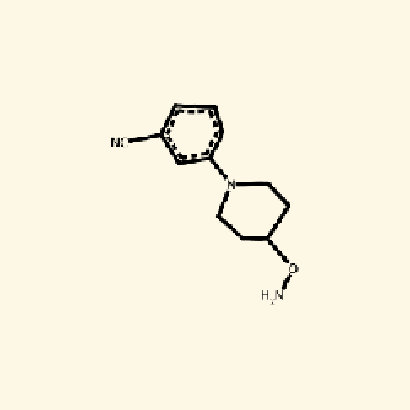 N#Cc1cccc(N2CCC(ON)CC2)c1